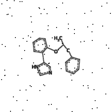 CC(Cc1ccccc1)Oc1ccccc1-c1cnc[nH]1